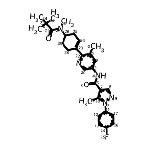 Cc1cc(NC(=O)c2cnn(-c3ccc(F)cc3)c2C)cnc1C1=CCC(N(C)C(=O)C(C)(C)C)CC1